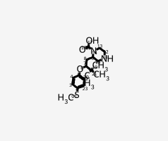 CSc1ccc(OC(CC2CNCCN2C(=O)O)C(C)(C)C)cc1